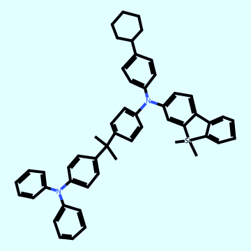 CC(C)(c1ccc(N(c2ccccc2)c2ccccc2)cc1)c1ccc(N(c2ccc(C3CCCCC3)cc2)c2ccc3c(c2)[Si](C)(C)c2ccccc2-3)cc1